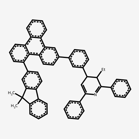 CCC1C(c2ccccc2)=NC(c2ccccc2)=CC1c1cccc(-c2ccc3c(c2)c2ccccc2c2cccc(-c4ccc5c(c4)C(C)(C)c4ccccc4-5)c23)c1